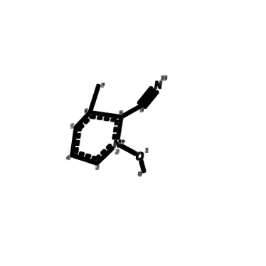 CO[n+]1cccc(C)c1C#N